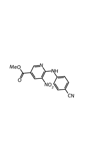 COC(=O)c1cnc(Nc2ccc(C#N)cc2)c([N+](=O)[O-])c1